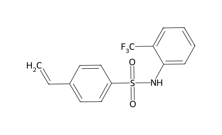 C=Cc1ccc(S(=O)(=O)Nc2ccccc2C(F)(F)F)cc1